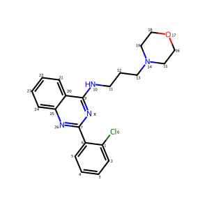 Clc1ccccc1-c1nc(NCCCN2CCOCC2)c2ccccc2n1